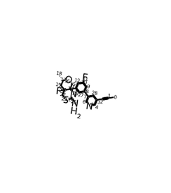 CC#Cc1cncc(-c2cc(F)cc([C@]34CO[C@@H](C)C[C@@]3(F)CSC(N)=N4)c2)c1